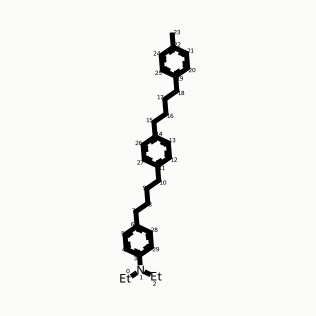 CCN(CC)c1ccc(CCCCc2ccc(CCCCc3ccc(C)cc3)cc2)cc1